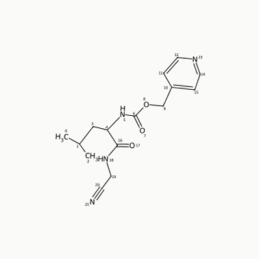 CC(C)CC(NC(=O)OCc1ccncc1)C(=O)NCC#N